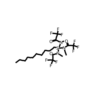 CCCCCCCCCC[Si](N(C)C(=O)C(F)(F)F)(N(C)C(=O)C(F)(F)F)N(C)C(=O)C(F)(F)F